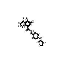 Nc1c(Cl)cc(C(=O)NCC2CCN(C[C@H]3CCOC3)CC2)c2c1CCCO2